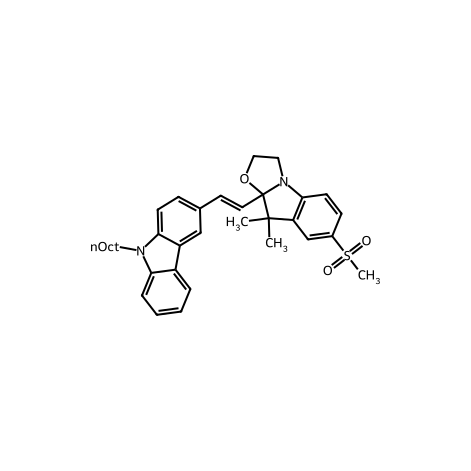 CCCCCCCCn1c2ccccc2c2cc(C=CC34OCCN3c3ccc(S(C)(=O)=O)cc3C4(C)C)ccc21